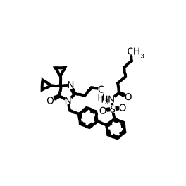 CCCCCC(=O)NS(=O)(=O)c1ccccc1-c1ccc(CN2C(=O)C(C3CC3)(C3CC3)N=C2CCC)cc1